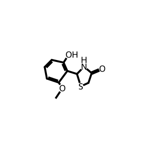 COc1cccc(O)c1C1NC(=O)CS1